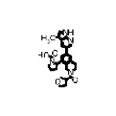 Cc1c[nH]c2ncc(-c3cc4c(c(C5CCCN5C(=O)O)c3)CN(C(=O)C3CCOC3)CC4)cc12